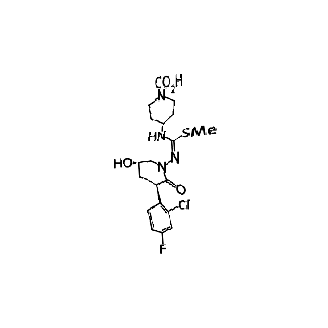 CSC(=NN1C[C@H](O)C[C@H](c2ccc(F)cc2Cl)C1=O)NC1CCN(C(=O)O)CC1